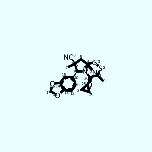 CC12SSC3(C[C@](C)(C#N)[C@H](c4ccc5c(c4)OCO5)N3C1=O)C(=O)N2C1CC1